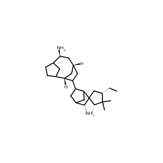 CC[C@H]1CC2(C3CC(CC3C3C[C@@H]4C[C@H]3C3CCC(C3)[C@@H](N)C4)[C@H]2N)[C@@H](C)C1(C)C